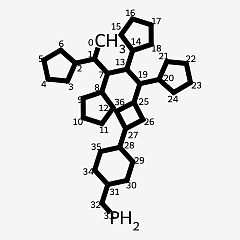 CC(C1CCCC1)C(C1CCCC1)C(C1CCCC1)C(C1CCCC1)C1CC(C2CCC(CP)CC2)C1